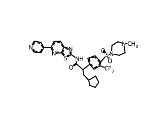 CN1CCN(S(=O)(=O)c2ccc(C(CC3CCCC3)C(=O)Nc3nc4ccc(-c5ccncc5)nc4s3)cc2C(F)(F)F)CC1